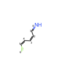 N=C/C=C\C=C/F